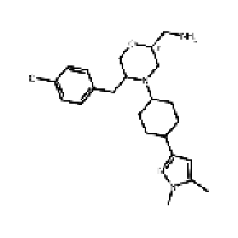 Cc1cc(C2CCC(N3C[C@H](CN)OCC3Cc3ccc(Cl)cc3)CC2)nn1C